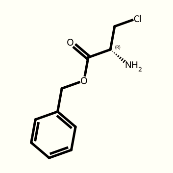 N[C@@H](CCl)C(=O)OCc1ccccc1